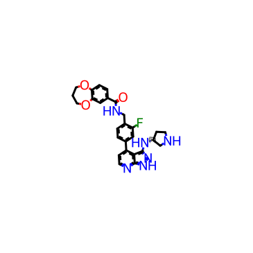 O=C(NCc1ccc(-c2ccnc3[nH]nc(N[C@@H]4CCNC4)c23)cc1F)c1ccc2c(c1)OCCCO2